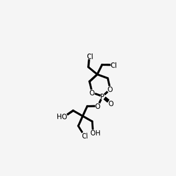 O=P1(OCC(CO)(CO)CCl)OCC(CCl)(CCl)CO1